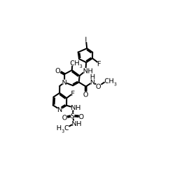 CNS(=O)(=O)Nc1nccc(Cn2cc(C(=O)NOC)c(Nc3ccc(I)cc3F)c(C)c2=O)c1F